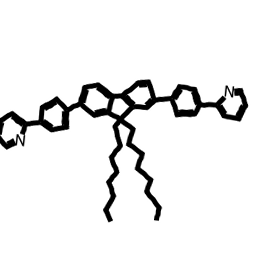 CCCCCCCCC1(CCCCCCCC)c2cc(-c3ccc(-c4ccccn4)cc3)ccc2-c2ccc(-c3ccc(-c4ccccn4)cc3)cc21